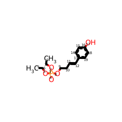 CCOP(=O)(OCC)OCCC=Cc1ccc(O)cc1